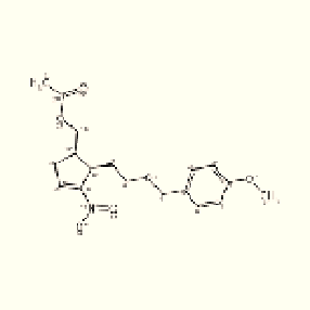 COc1ccc(COCC[C@H]2C([N+](=O)[O-])=CC[C@H]2COC(C)=O)cc1